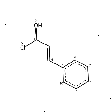 O[C@H](Cl)/C=C/c1ccccc1